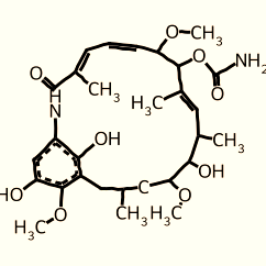 COc1c(O)cc2c(O)c1CC(C)CC(OC)C(O)C(C)/C=C(\C)C(OC(N)=O)C(OC)/C=C\C=C(/C)C(=O)N2